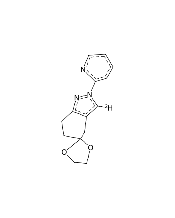 [2H]c1c2c(nn1-c1ccccn1)CCC1(C2)OCCO1